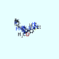 CCN(C)SNc1cccc(-c2cc3cnc(NCCC4CCN(C(C)=O)CC4)nc3n(C)c2=O)c1N